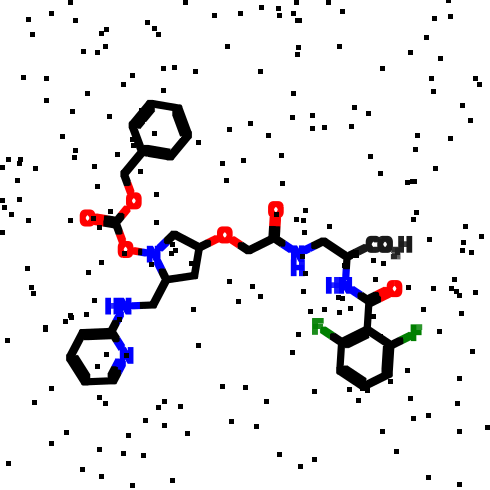 O=C(COC1CC(CNc2ccccn2)N(OC(=O)OCc2ccccc2)C1)NCC(NC(=O)c1c(F)cccc1F)C(=O)O